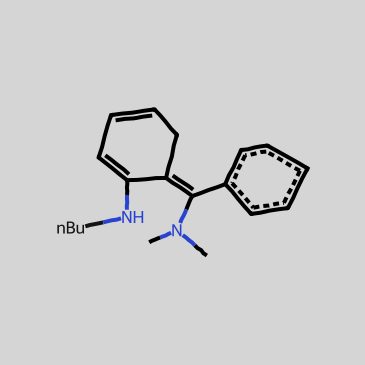 CCCCNC1=CC=CCC1=C(c1ccccc1)N(C)C